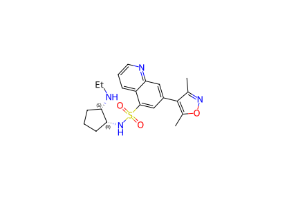 CCN[C@H]1CCC[C@H]1NS(=O)(=O)c1cc(-c2c(C)noc2C)cc2ncccc12